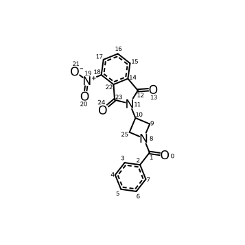 O=C(c1ccccc1)N1CC(N2C(=O)c3cccc([N+](=O)[O-])c3C2=O)C1